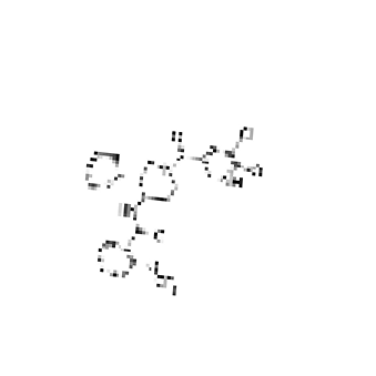 O=C(N[C@@H]1CCN(C(=O)c2c[nH]c(=O)c(Cl)c2)C[C@@H]1c1ccccc1)c1ccccc1OC(F)(F)F